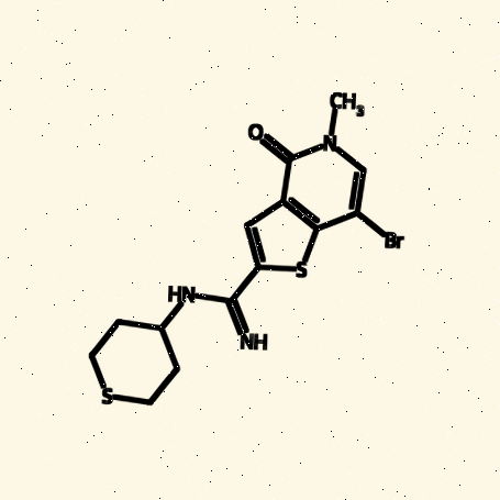 Cn1cc(Br)c2sc(C(=N)NC3CCSCC3)cc2c1=O